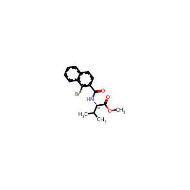 COC(=O)[C@@H](NC(=O)c1ccc2ccccc2c1Br)C(C)C